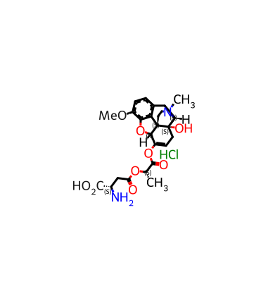 COc1ccc2c3c1O[C@H]1C(OC(=O)[C@H](C)OC(=O)C[C@H](N)C(=O)O)=CC[C@@]4(O)[C@@H](C2)N(C)CC[C@]314.Cl